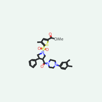 COC(=O)c1cc(C)c(S(=O)(=O)N2CC(C(=O)N3CCN(c4ccc(C)c(C)c4)CC3)C(c3ccccc3)C2)s1